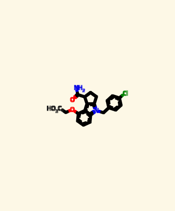 NC(=O)C1CCc2c1c1c(OCC(=O)O)cccc1n2Cc1ccc(Cl)cc1